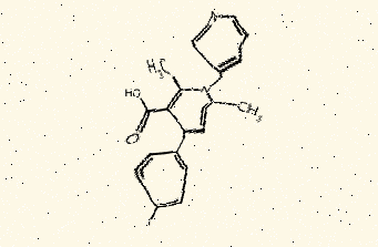 CC1=CC(c2ccc(I)cc2)C(C(=O)O)=C(C)N1c1cccnc1